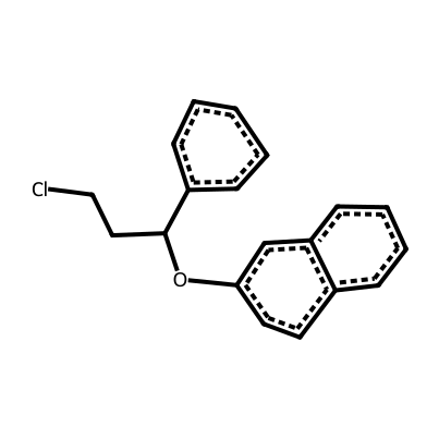 ClCCC(Oc1ccc2ccccc2c1)c1ccccc1